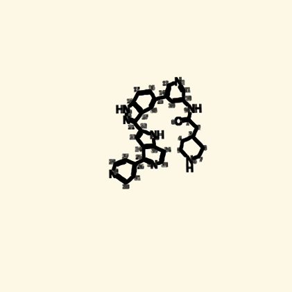 O=C(CC1CCNCC1)Nc1cncc(-c2ccc3[nH]nc(-c4cc5c(-c6ccncc6)nccc5[nH]4)c3c2)c1